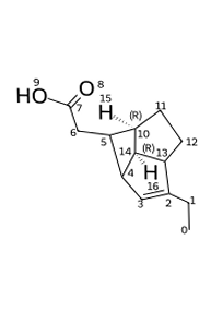 CCC1=CC2C(CC(=O)O)[C@H]3CCC1[C@@H]23